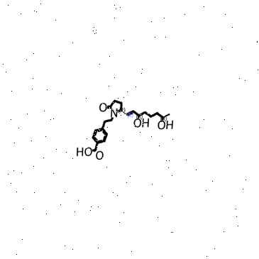 C[C@@H](O)CCC[C@@H](O)/C=C/[C@H]1CCC(=O)N1CCc1ccc(C(=O)O)cc1